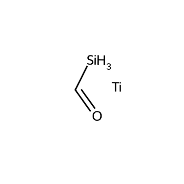 O=C[SiH3].[Ti]